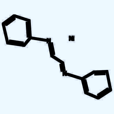 C(C=Nc1ccccc1)=Nc1ccccc1.[Ni]